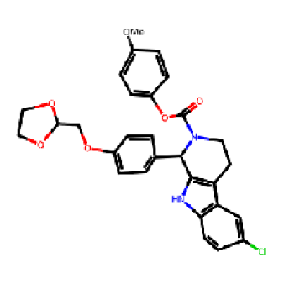 COc1ccc(OC(=O)N2CCc3c([nH]c4ccc(Cl)cc34)C2c2ccc(OCC3OCCO3)cc2)cc1